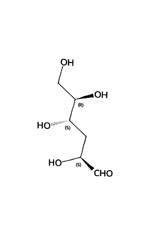 O=C[C@@H](O)C[C@H](O)[C@H](O)CO